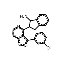 NC1c2ccccc2CC1c1ncnc2n[nH]c(-c3cccc(O)c3)c12